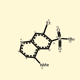 CCc1cc2nccc(NC)c2cc1S(=O)(=O)C(C)(C)C